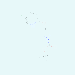 CC(C)(C)OC(=O)N1CC(Oc2ccc(F)cn2)C1